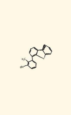 Cc1c(-c2cccc3c2sc2ccccc23)cccc1C(C)(C)C